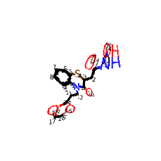 O=C(CC1Sc2ccccc2N(CCC2OCCO2)C1=O)NO